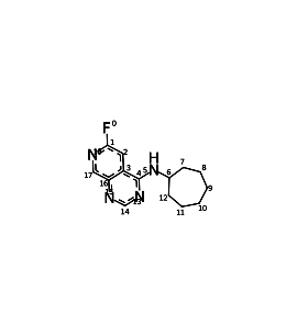 Fc1cc2c(NC3CCCCCC3)ncnc2cn1